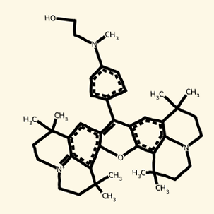 CN(CCO)c1ccc(C2=c3cc4c5c(c3Oc3c2cc2c6c3C(C)(C)CCN6CCC2(C)C)C(C)(C)CC[N+]=5CCC4(C)C)cc1